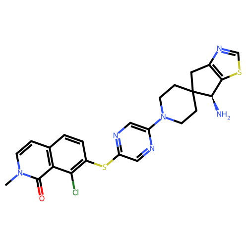 Cn1ccc2ccc(Sc3cnc(N4CCC5(CC4)Cc4ncsc4[C@H]5N)cn3)c(Cl)c2c1=O